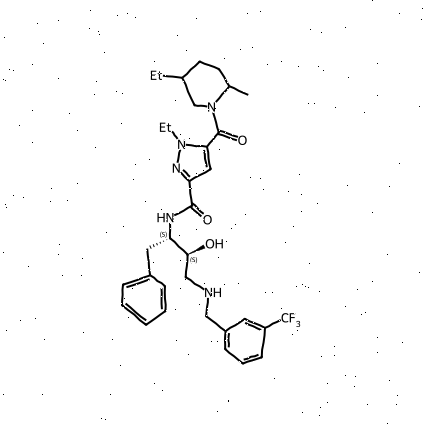 CCC1CCC(C)N(C(=O)c2cc(C(=O)N[C@@H](Cc3ccccc3)[C@@H](O)CNCc3cccc(C(F)(F)F)c3)nn2CC)C1